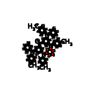 Cc1ccc(N(c2ccccc2)c2cc(C(=O)c3cc(N(c4ccccc4)c4ccc(C)cc4)cc(N(c4ccccc4)c4ccc(C)cc4)c3)cc(N(c3ccccc3)c3ccc(C)cc3)c2)cc1